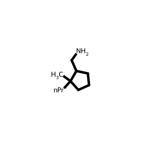 CCCC1(C)CCCC1CN